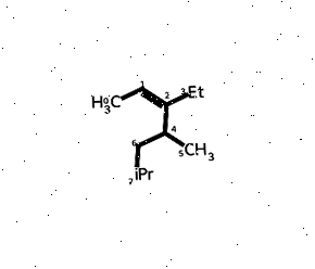 C/C=C(/CC)C(C)CC(C)C